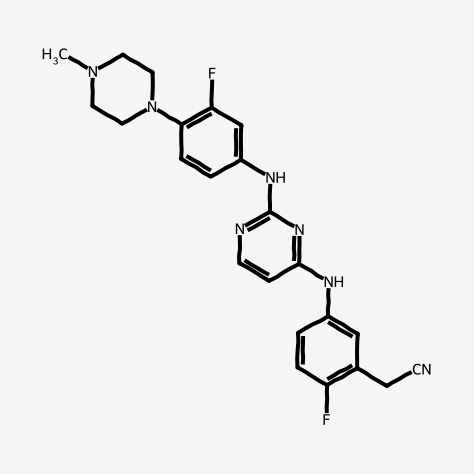 CN1CCN(c2ccc(Nc3nccc(Nc4ccc(F)c(CC#N)c4)n3)cc2F)CC1